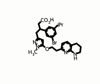 CC(C)c1cc(Br)cc(C(CC(=O)O)Cc2cc(OCCc3ccc4c(n3)NCCC4)n(C)n2)c1